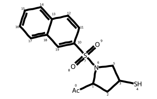 CC(=O)C1CC(S)CN1S(=O)(=O)c1ccc2ccccc2c1